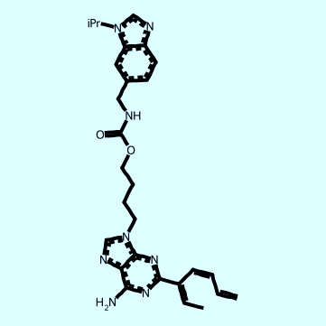 C=C/C=C\C(=C/C)c1nc(N)c2ncn(CCCCOC(=O)NCc3ccc4ncn(C(C)C)c4c3)c2n1